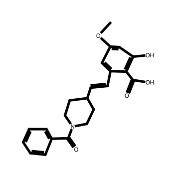 COc1cc(O)c(C(=O)O)c(C=CC2CCN(C(=O)c3ccccc3)CC2)c1